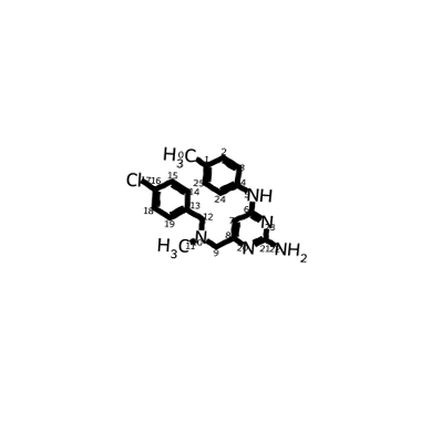 Cc1ccc(Nc2cc(CN(C)Cc3ccc(Cl)cc3)nc(N)n2)cc1